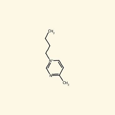 CCCC[n+]1ccc(C)nc1